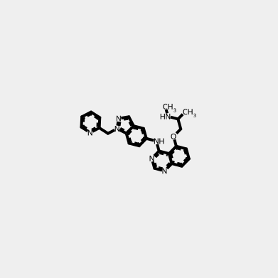 CNC(C)COc1cccc2ncnc(Nc3ccc4c(cnn4Cc4ccccn4)c3)c12